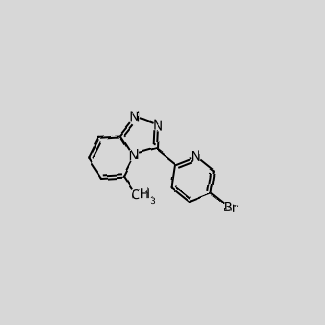 Cc1cccc2nnc(-c3ccc(Br)cn3)n12